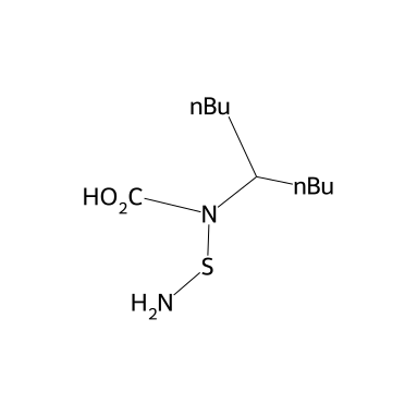 CCCCC(CCCC)N(SN)C(=O)O